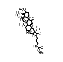 CC(=O)O[C@H]1CC[C@]2(C)[C@H]3C(=O)C=C4C(CC[C@H]5CC[C@](C)(C(=O)NCCCNC(=O)OC(C)(C)C)C[C@@H]45)[C@]3(C)CC[C@H]2C1(C)C